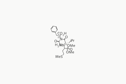 COP(=O)(OC)C(CCSC)N[C@@H](CC(C)C)C(=O)N(C(N)=O)[C@@H](Cc1ccccc1)C(=O)O